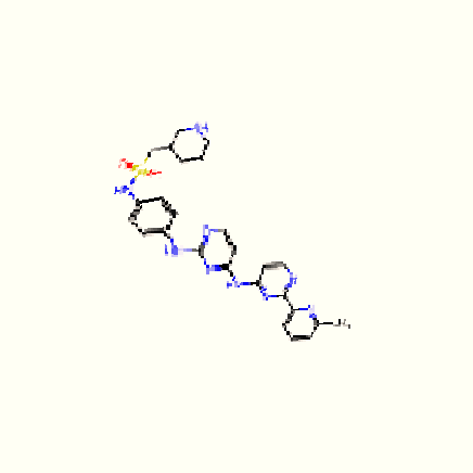 Cc1cccc(-c2nccc(Nc3ccnc(Nc4ccc(NS(=O)(=O)CC5CCCNC5)cc4)n3)n2)n1